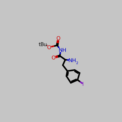 CC(C)(C)OC(=O)NC(=O)C(N)Cc1ccc(I)cc1